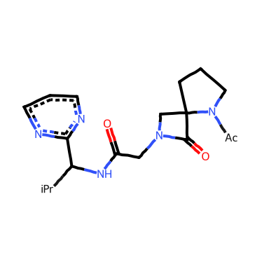 CC(=O)N1CCCC12CN(CC(=O)NC(c1ncccn1)C(C)C)C2=O